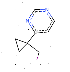 ICC1(c2ccncn2)CC1